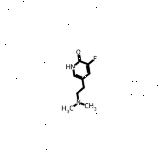 CN(C)CCc1c[nH]c(=O)c(F)c1